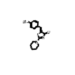 CC(C)(C)c1ccc(/C=C2\SC(N3CCCCC3)=NC2=O)cc1